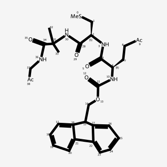 CSC[C@@H](NC(=O)[C@@H](CCC(C)=O)NC(=O)OCC1c2ccccc2-c2ccccc21)C(=O)NC(C)(C)C(=O)NCC(C)=O